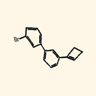 Brc1cccc(-c2cccc(C3=CCC3)c2)c1